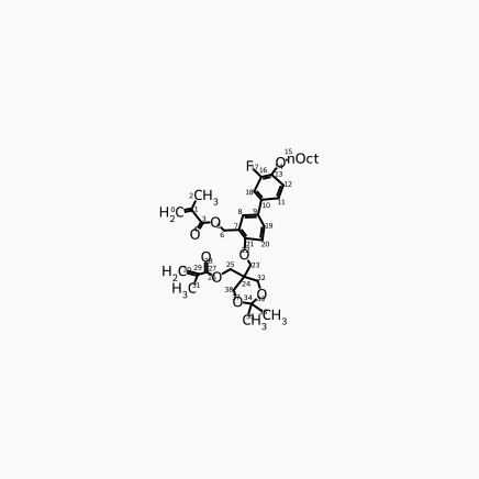 C=C(C)C(=O)OCc1cc(-c2ccc(OCCCCCCCC)c(F)c2)ccc1OCC1(COC(=O)C(=C)C)COC(C)(C)OC1